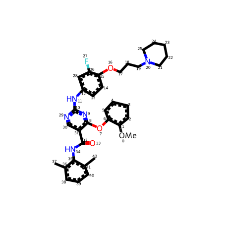 COc1ccccc1Oc1nc(Nc2ccc(OCCCN3CCCCC3)c(F)c2)ncc1C(=O)Nc1c(C)cccc1C